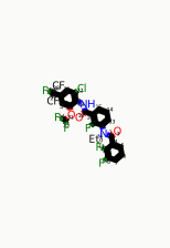 CCN(C(=O)c1cccc(F)c1F)c1cccc(C(=O)Nc2c(Cl)cc(C(F)(C(F)(F)F)C(F)(F)F)cc2OC(F)F)c1F